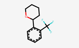 FC(F)(F)c1c[c]ccc1C1CCCCO1